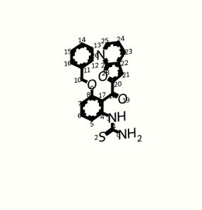 NC(=S)Nc1cccc(OCc2ccccc2)c1C(=O)c1cc2cccnc2o1